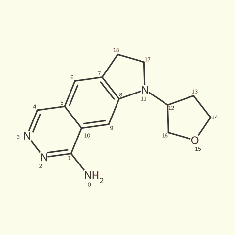 Nc1nncc2cc3c(cc12)N(C1CCOC1)CC3